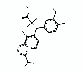 Cc1ccc([C@@H](c2ccn3c(C(F)F)nnc3c2C)C(C)(C)C(=O)OC(C)(C)C)cc1CO